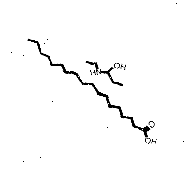 CCCCCCCCCCCCCCCCCC(=O)O.CCNC(O)CC